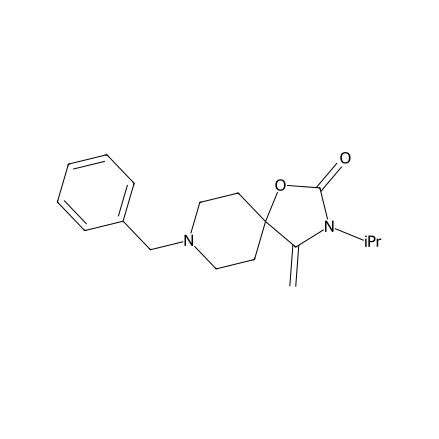 C=C1N(C(C)C)C(=O)OC12CCN(Cc1ccccc1)CC2